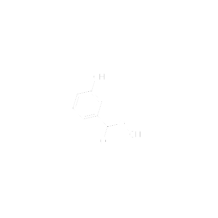 COC([O])c1cccc(C)c1